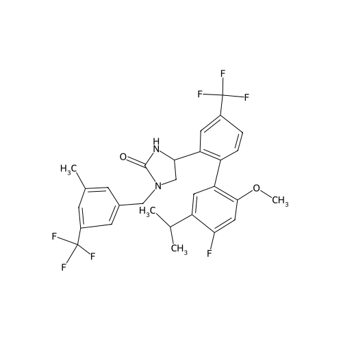 COc1cc(F)c(C(C)C)cc1-c1ccc(C(F)(F)F)cc1C1CN(Cc2cc(C)cc(C(F)(F)F)c2)C(=O)N1